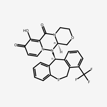 O=C1c2c(O)c(=O)ccn2N([C@@H]2c3ccccc3SCc3c2cccc3C(F)(F)F)[C@@H]2COCCN12